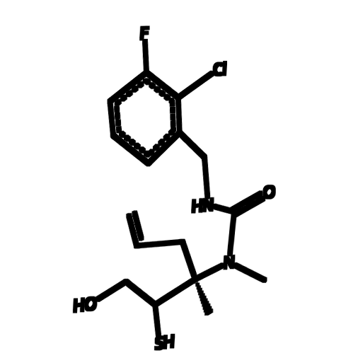 C=CC[C@](C)(C(S)CO)N(C)C(=O)NCc1cccc(F)c1Cl